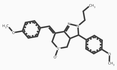 CCCN1N=C2C(=Cc3ccc(OC)cc3)C[S+]([O-])CC2C1c1ccc(OC)cc1